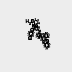 Cc1cccc2c1nc(COc1ccc(Cl)cc1)n2CCCC1CCCN(CCC(Cc2ccccc2)C(=O)c2ccccc2)C1